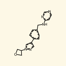 c1cc(NCc2ccc(-c3cnn(C4COC4)c3)cc2)ncn1